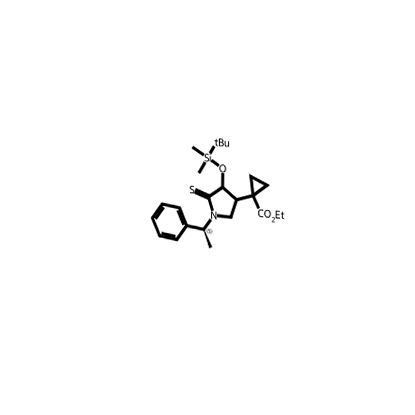 CCOC(=O)C1(C2CN([C@@H](C)c3ccccc3)C(=S)C2O[Si](C)(C)C(C)(C)C)CC1